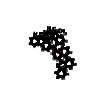 CC1(C)c2ccccc2-c2ccc(N(c3ccc(-c4nc5ccccc5c5ccnc(C6=CCCC=C6)c45)cc3)c3cccc4c3-c3ccccc3C4(C)C)cc21